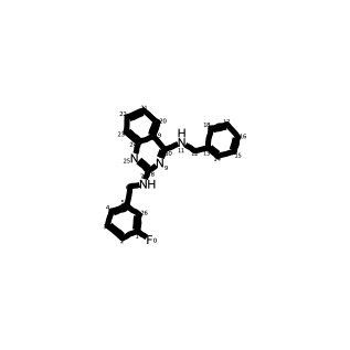 Fc1cccc(CNc2nc(NCc3ccccc3)c3ccccc3n2)c1